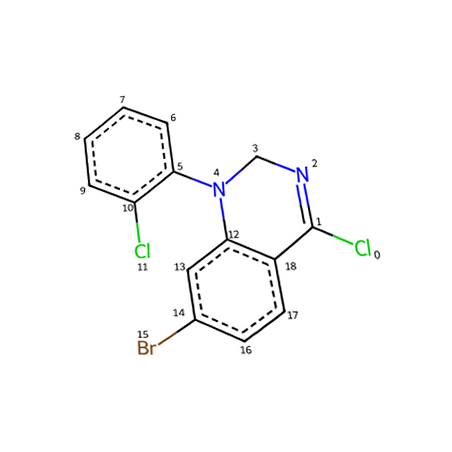 ClC1=NCN(c2ccccc2Cl)c2cc(Br)ccc21